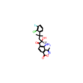 Cc1noc(=O)c2ccc(C(=O)C(O)(CC(C)(C)c3cccc(F)c3Cl)C(F)(F)F)c(N)c12